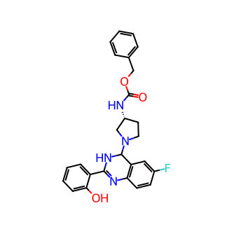 O=C(N[C@@H]1CCN(C2NC(c3ccccc3O)=Nc3ccc(F)cc32)C1)OCc1ccccc1